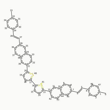 Cc1ccc(/C=C/c2ccc3cc(-c4ccc(-c5ccc(-c6ccc7cc(/C=C/c8ccc(C)cc8)ccc7c6)s5)s4)ccc3c2)cc1